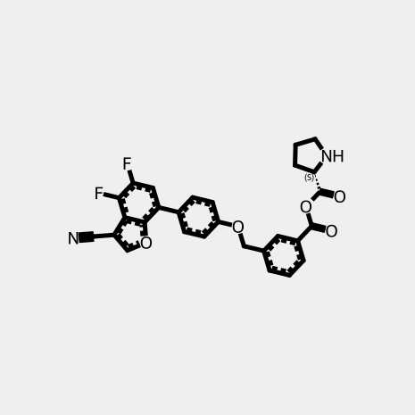 N#Cc1coc2c(-c3ccc(OCc4cccc(C(=O)OC(=O)[C@@H]5CCCN5)c4)cc3)cc(F)c(F)c12